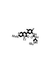 CCn1c(=O)c(-c2cc(NC(=O)Nc3cnn(C(C)(C)C)c3)c(F)cc2C)cc2cnc(NC)cc21